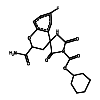 NC(=O)C1CC2(NC(=O)N(C(=O)OC3CCCCC3)C2=O)c2cc(F)ccc2O1